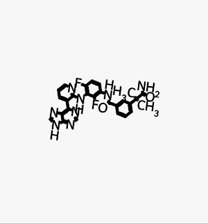 CC(C)(C(N)=O)c1cccc(C(=O)Nc2ccc(F)c(Nc3ncccc3-c3ncnc4[nH]cnc34)c2F)c1